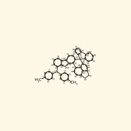 Cc1ccc(N(c2ccc(C)cc2)c2cccc3c2sc2c4c(ccc23)C2(c3cccnc3-c3ncccc32)c2ccc3c5c(ccc-4c25)CC3)cc1